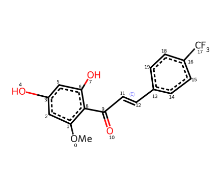 COc1cc(O)cc(O)c1C(=O)/C=C/c1ccc(C(F)(F)F)cc1